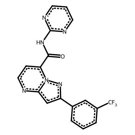 O=C(Nc1ncccn1)c1ccnc2cc(-c3cccc(C(F)(F)F)c3)nn12